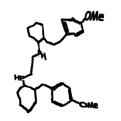 COc1ccc(CC2CCCCC2PCCPC2CCCCC2Cc2ccc(OC)cc2)cc1